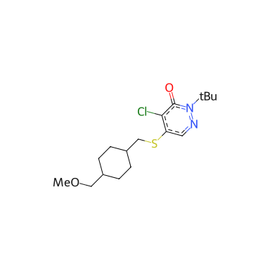 COCC1CCC(CSc2cnn(C(C)(C)C)c(=O)c2Cl)CC1